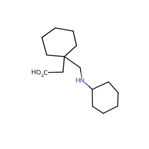 O=C(O)CC1(CNC2CCCCC2)CCCCC1